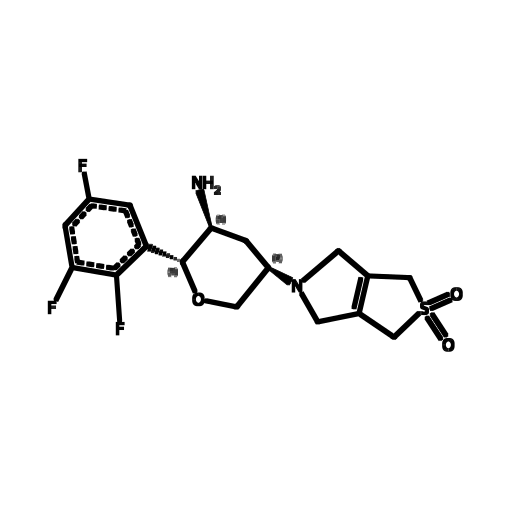 N[C@H]1C[C@@H](N2CC3=C(C2)CS(=O)(=O)C3)CO[C@@H]1c1cc(F)cc(F)c1F